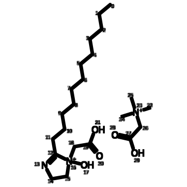 CCCCCCCCCCCCC1=NCC[N+]1(O)CC(=O)O.C[N+](C)(C)CC(=O)O